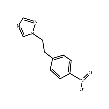 O=[N+]([O-])c1ccc(CCn2cncn2)cc1